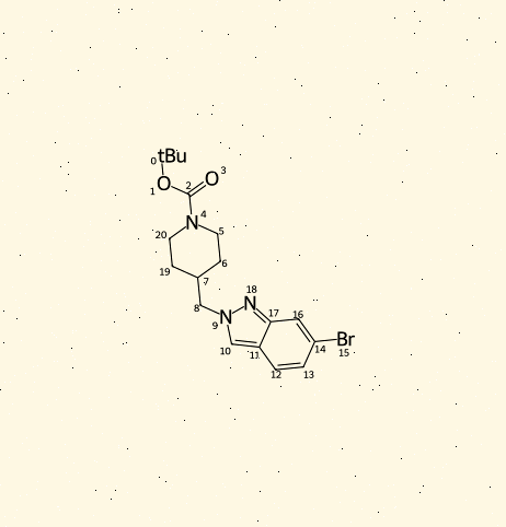 CC(C)(C)OC(=O)N1CCC(Cn2cc3ccc(Br)cc3n2)CC1